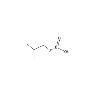 CC(C)CO[Si](=O)O